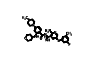 Cc1cc(F)cc(Sc2cnc(N)c(C(=N)NC(=O)c3ccc(N4CCN(C)CC4)cc3NC3CCOCC3)c2)c1